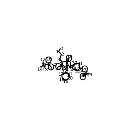 CCCCc1c(OCOC(=O)C(C)(C)C)n(-c2ccccc2)n(-c2ccc(OC(C)=O)cc2)c1=O